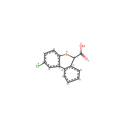 O=C(O)C1Sc2ccc(Cl)cc2-c2ccccc21